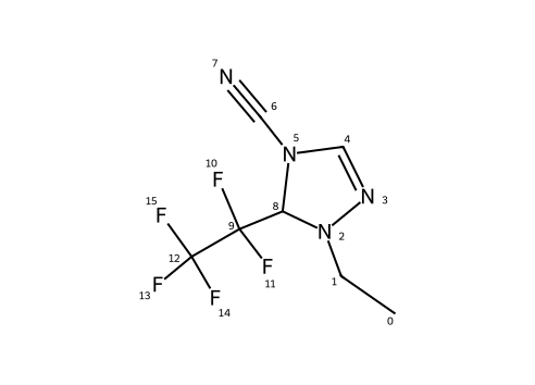 CCN1N=CN(C#N)C1C(F)(F)C(F)(F)F